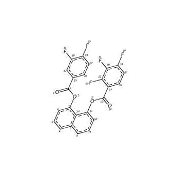 O=C(Oc1cccc2cccc(OC(=O)c3ccc(F)c(F)c3F)c12)c1ccc(F)c(F)c1